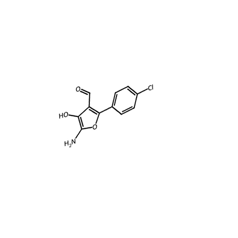 Nc1oc(-c2ccc(Cl)cc2)c(C=O)c1O